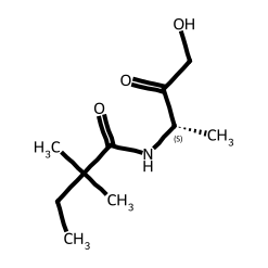 CCC(C)(C)C(=O)N[C@@H](C)C(=O)CO